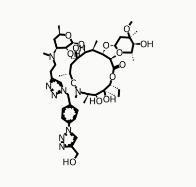 CC[C@H]1OC(=O)[C@H](C)[C@@H](O[C@@H]2C[C@@](C)(OC)[C@@H](O)[C@H](C)O2)[C@H](C)[C@@H](O[C@@H]2O[C@H](C)C[C@H](N(C)CCc3cn(Cc4ccc(-n5cc(CO)nn5)cc4)nn3)[C@H]2O)[C@](C)(O)C[C@@H](C)CN(C)[C@H](C)[C@@H](O)[C@]1(C)O